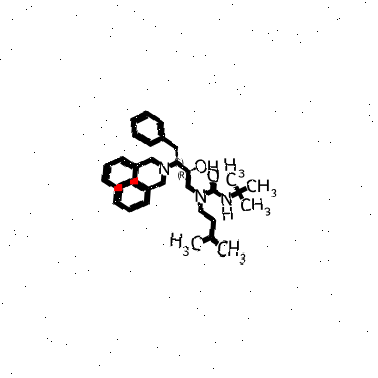 CC(C)CCN(C[C@@H](O)[C@H](Cc1ccccc1)N(Cc1ccccc1)Cc1ccccc1)C(=O)NC(C)(C)C